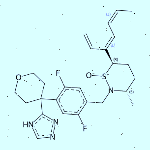 C=C/C(=C\C=C/C)[C@H]1CC[C@H](C)N(Cc2cc(F)c(C3(c4nnc[nH]4)CCOCC3)cc2F)[S+]1[O-]